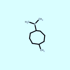 CB(C)C1CCCC(C)CCC1